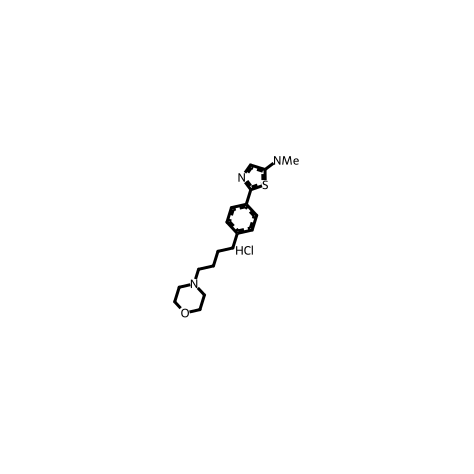 CNc1cnc(-c2ccc(CCCCN3CCOCC3)cc2)s1.Cl